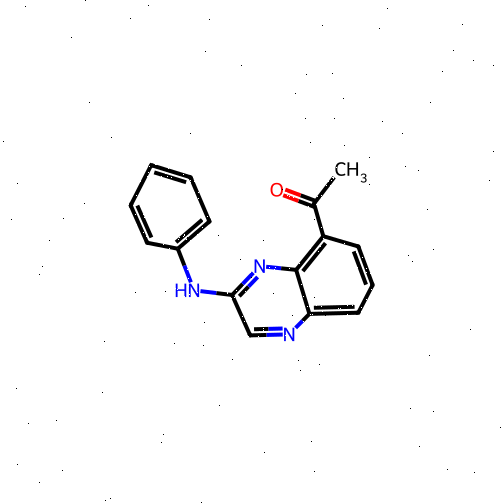 CC(=O)c1cccc2ncc(Nc3ccccc3)nc12